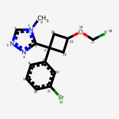 Cn1cnnc1C1(c2cccc(Br)c2)CC(OCF)C1